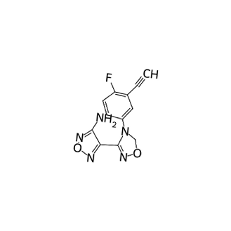 C#Cc1cc(N2CON=C2c2nonc2N)ccc1F